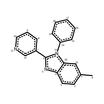 Cc1ccc2nc(-c3cccnc3)n(-c3ccccc3)c2c1